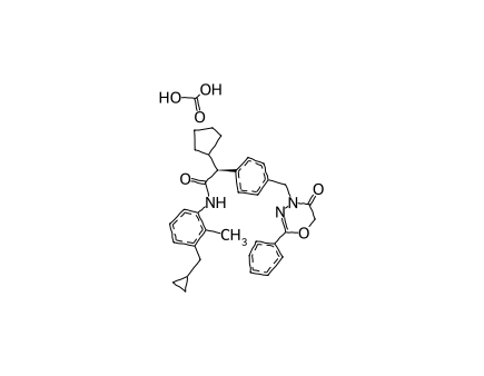 Cc1c(CC2CC2)cccc1NC(=O)[C@H](c1ccc(CN2N=C(c3ccccc3)OCC2=O)cc1)C1CCCC1.O=C(O)O